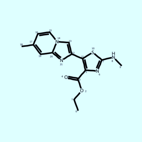 CCOC(=O)c1nc(NC)sc1-c1cn2ccc(C)cc2n1